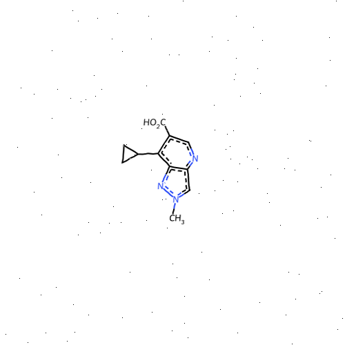 Cn1cc2ncc(C(=O)O)c(C3CC3)c2n1